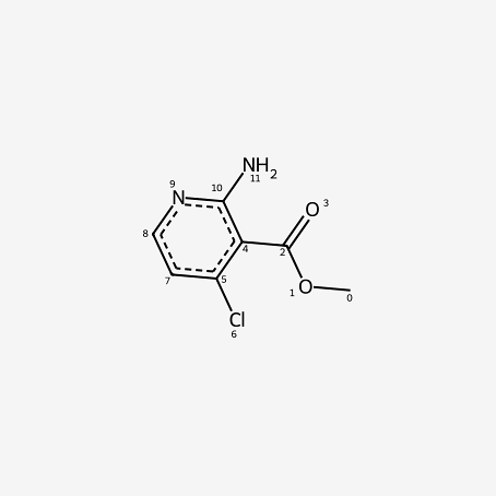 COC(=O)c1c(Cl)ccnc1N